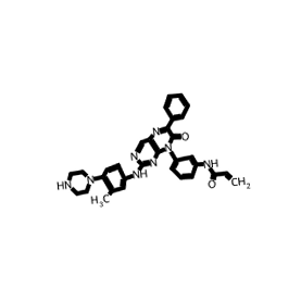 C=CC(=O)Nc1cccc(-n2c(=O)c(-c3ccccc3)nc3cnc(Nc4ccc(N5CCNCC5)c(C)c4)nc32)c1